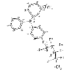 Cl.FC(F)(F)C(F)(F)C(F)(F)C(F)(F)[P+](F)(F)F.[Cl-].c1ccc(P(c2ccccc2)c2ccccc2)cc1